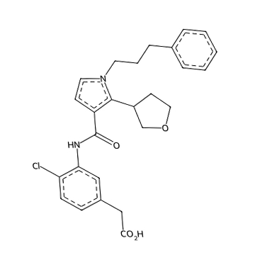 O=C(O)Cc1ccc(Cl)c(NC(=O)c2ccn(CCCc3ccccc3)c2C2CCOC2)c1